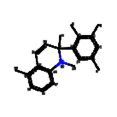 Cc1cc(C)c(C)c(C2(C)C=Cc3c(C)cccc3N2C)c1